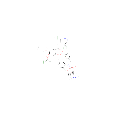 O=C(O[C@@H](Cc1c(Cl)cncc1Cl)c1ccc(OC(F)F)c(OCC2CC2)c1)c1ccc(CN(C(=O)O[C@H]2CN3CCC2CC3)c2ccccc2F)s1